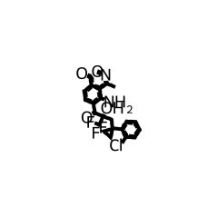 Cc1noc(=O)c2ccc(C(=O)C(O)(CC3(c4ccccc4Cl)CC3)C(F)(F)F)c(N)c12